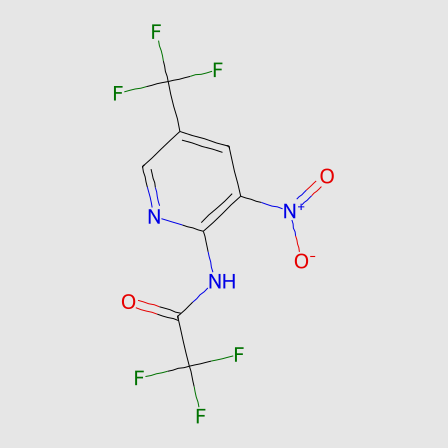 O=C(Nc1ncc(C(F)(F)F)cc1[N+](=O)[O-])C(F)(F)F